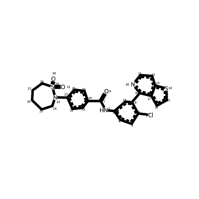 O=C(Nc1ccc(Cl)c(-c2nccc3sccc23)c1)c1ccc(N2CCCCCS2(=O)=O)cc1